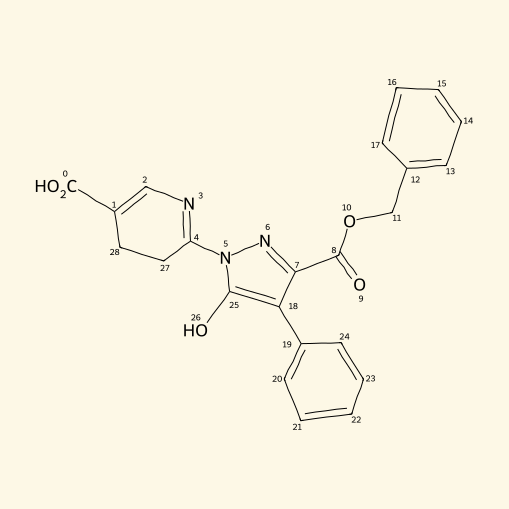 O=C(O)C1=CN=C(n2nc(C(=O)OCc3ccccc3)c(-c3ccccc3)c2O)CC1